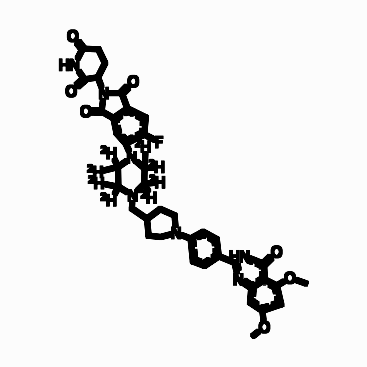 [2H]C1([2H])N(CC2CCN(c3ccc(-c4nc5cc(OC)cc(OC)c5c(=O)[nH]4)cc3)CC2)C([2H])([2H])C([2H])([2H])N(c2cc3c(cc2F)C(=O)N(C2CCC(=O)NC2=O)C3=O)C1([2H])[2H]